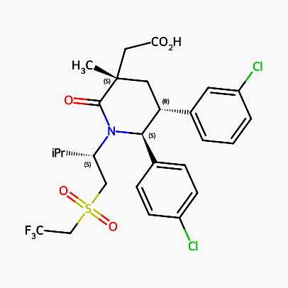 CC(C)[C@@H](CS(=O)(=O)CC(F)(F)F)N1C(=O)[C@](C)(CC(=O)O)C[C@H](c2cccc(Cl)c2)[C@H]1c1ccc(Cl)cc1